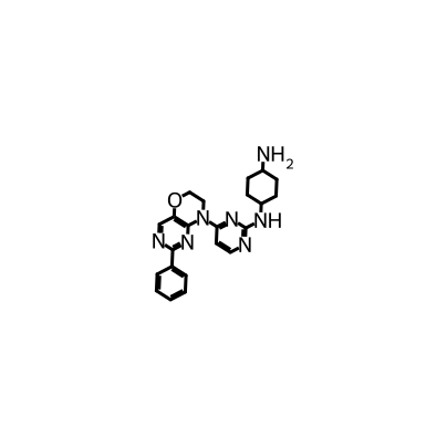 NC1CCC(Nc2nccc(N3CCOc4cnc(-c5ccccc5)nc43)n2)CC1